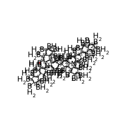 Bc1c(B)c(B)c(-c2c(B)c(B)c(-n3c4c(B)c(B)c(-c5c(B)c(B)c6c(c5B)c5c(B)c(B)c(B)c(B)c5n6-c5c(B)c(B)c(-c6c(B)c(B)c7c(B)c(B)c(B)c(B)c7c6B)c(B)c5B)c(B)c4c4c5c(B)c(B)c(B)c(B)c5c(B)c(B)c43)c(B)c2B)c(B)c1B